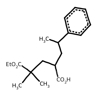 CCOC(=O)C(C)(C)CC(CC(C)c1ccccc1)C(=O)O